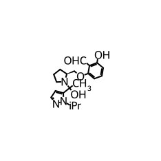 CC(C)n1nccc1C(C)(O)N1CCC[C@H]1COc1cccc(O)c1C=O